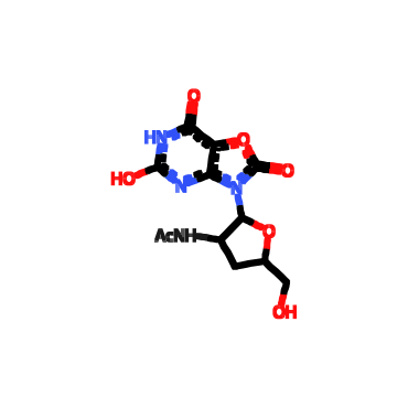 CC(=O)NC1CC(CO)OC1n1c(=O)oc2c(=O)[nH]c(O)nc21